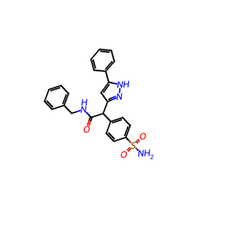 NS(=O)(=O)c1ccc(C(C(=O)NCc2ccccc2)c2cc(-c3ccccc3)[nH]n2)cc1